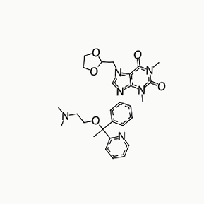 CN(C)CCOC(C)(c1ccccc1)c1ccccn1.Cn1c(=O)c2c(ncn2CC2OCCO2)n(C)c1=O